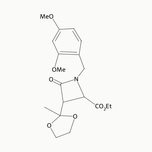 CCOC(=O)C1C(C2(C)OCCO2)C(=O)N1Cc1ccc(OC)cc1OC